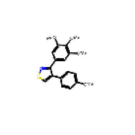 COc1ccc(-c2csnc2-c2cc(OC)c(OC)c(OC)c2)cc1